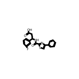 O=C(O)CC(NC(=O)c1nc(-c2ccccc2)cs1)c1cccc(F)c1